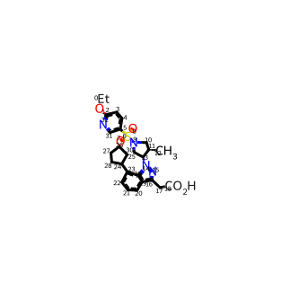 CCOc1ccc(S(=O)(=O)N2C[C@@H](C)[C@@H](n3nc(CC(=O)O)c4cccc(C5CCCC5)c43)C2)cn1